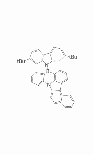 CC(C)(C)c1ccc2c3ccc(C(C)(C)C)cc3n(B3c4ccccc4-n4c5ccc6ccccc6c5c5cccc3c54)c2c1